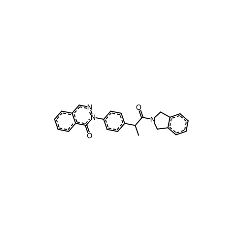 CC(C(=O)N1Cc2ccccc2C1)c1ccc(-n2ncc3ccccc3c2=O)cc1